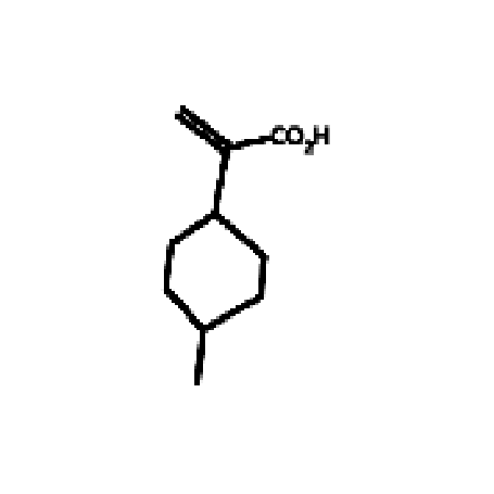 C=C(C(=O)O)C1CCC(C)CC1